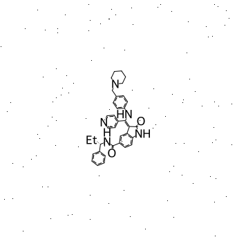 CC[C@H](NC(=O)c1ccc2c(c1)/C(=C(/Nc1ccc(CN3CCCCC3)cc1)c1ccncc1)C(=O)N2)c1ccccc1